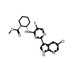 COC(=O)[C@H]1CCCC[C@@H]1Nc1nc(-c2c[nH]c3ncc(Cl)cc23)ncc1F